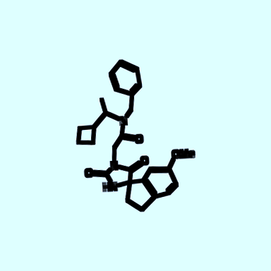 COc1ccc2c(c1)C1(CC2)NC(=O)N(CC(=O)N(Cc2ccccc2)C(C)C2CCC2)C1=O